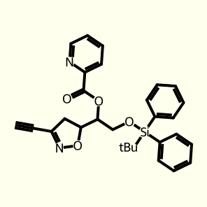 C#CC1=NOC(C(CO[Si](c2ccccc2)(c2ccccc2)C(C)(C)C)OC(=O)c2ccccn2)C1